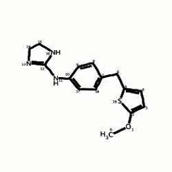 COc1ccc(Cc2ccc(NC3=NCCN3)cc2)s1